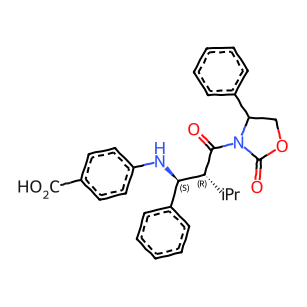 CC(C)[C@@H](C(=O)N1C(=O)OCC1c1ccccc1)[C@H](Nc1ccc(C(=O)O)cc1)c1ccccc1